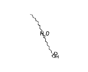 CCCCCCCCCCCCCCCCCCCCCC(=O)O.O